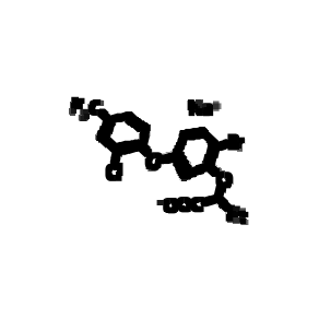 CCC(Oc1cc(Oc2ccc(C(F)(F)F)cc2Cl)ccc1Br)C(=O)[O-].[Na+]